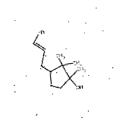 CCCC=CCC1CCC(C)(O)C1(C)C